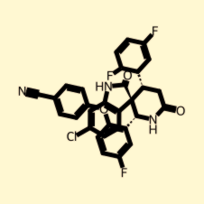 N#Cc1ccc(Oc2ccc(F)cc2[C@H]2NC(=O)C[C@@H](C3C=C(F)C=CC3F)[C@]23C(=O)Nc2cc(Cl)ccc23)cc1